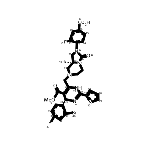 COC(=O)C1=C(CN2CCN3C(=O)N(c4ccc(C(=O)O)cc4F)C[C@@H]3C2)NC(c2cccs2)=N[C@H]1c1ccc(F)cc1Br